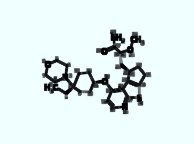 CC[C@]1(N2CCOCC2)CC[C@H](Oc2ccnc3sc4c(c23)[C@@H](C[C@@H](OC)C(N)=O)CC4)CC1